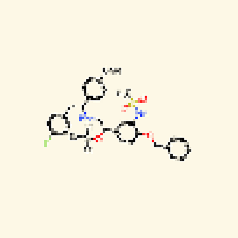 CC[Si](CC)(CC)O[C@@H](CN[C@H](Cc1ccc(F)cc1)c1ccc(OC)cc1)c1ccc(OCc2ccccc2)c(NS(C)(=O)=O)c1